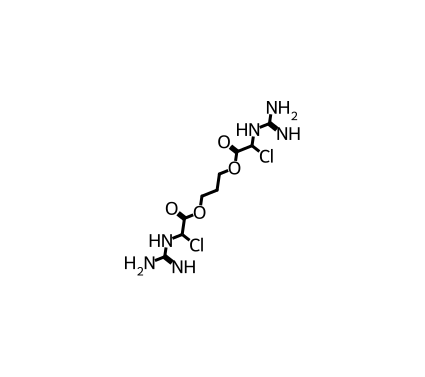 N=C(N)NC(Cl)C(=O)OCCCOC(=O)C(Cl)NC(=N)N